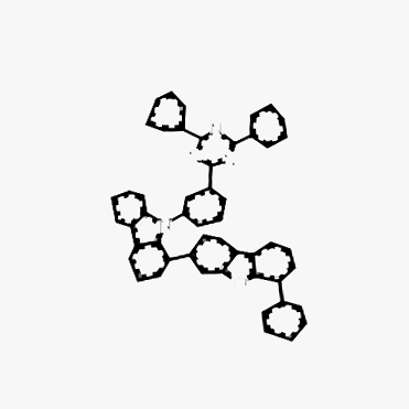 c1ccc(-c2nc(-c3ccccc3)nc(-c3cccc(-n4c5ccccc5c5cccc(-c6ccc7c(c6)oc6c(-c8ccccc8)cccc67)c54)c3)n2)cc1